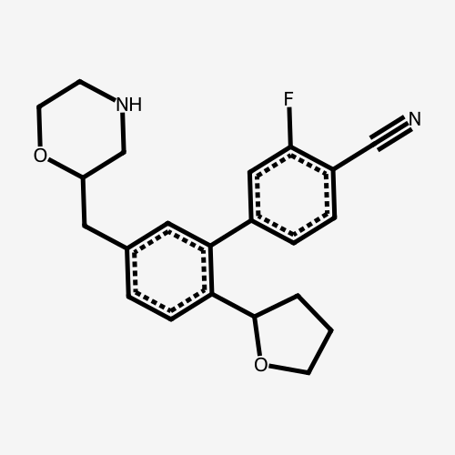 N#Cc1ccc(-c2cc(CC3CNCCO3)ccc2C2CCCO2)cc1F